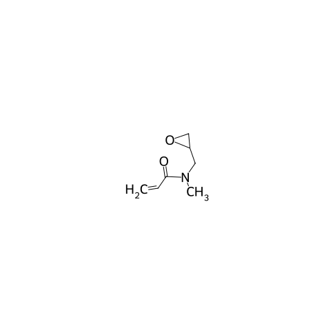 C=CC(=O)N(C)CC1CO1